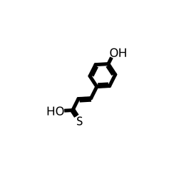 OC(=S)/C=C/c1ccc(O)cc1